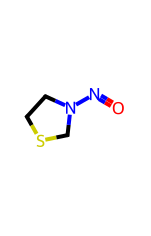 O=NN1CCSC1